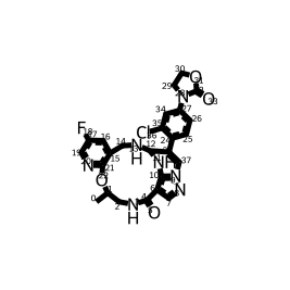 CC1CNC(=O)c2cnn3c2NC(NCc2cc(F)cnc2O1)C(c1ccc(N2CCOC2=O)cc1Cl)=C3